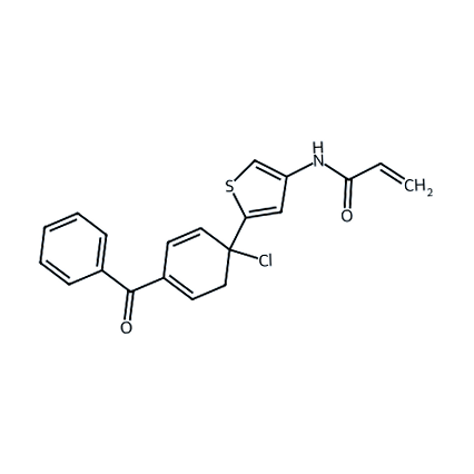 C=CC(=O)Nc1csc(C2(Cl)C=CC(C(=O)c3ccccc3)=CC2)c1